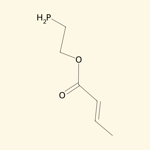 CC=CC(=O)OCCP